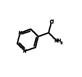 NC(Cl)c1cncnc1